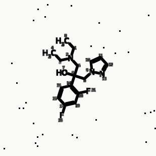 CCN(CC)CC(O)(Cn1cccn1)c1ccc(F)cc1F